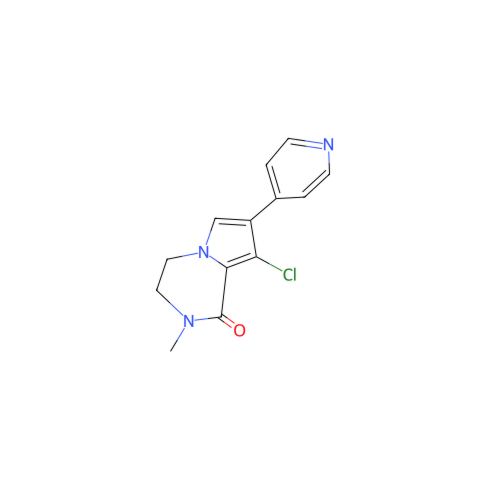 CN1CCn2cc(-c3ccncc3)c(Cl)c2C1=O